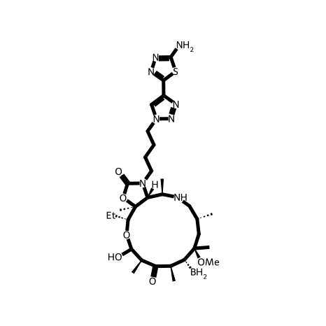 B[C@@H]1[C@@H](C)C(=O)[C@@H](C)C(O)O[C@H](CC)[C@@]2(C)OC(=O)N(CCCCn3cc(-c4nnc(N)s4)nn3)[C@@H]2[C@@H](C)NC[C@H](C)C[C@@]1(C)OC